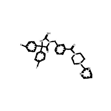 N=C1NC(c2ccc(F)cc2)(c2ccc(F)cc2)C(=O)N1Cc1cccc(C(=O)N2CCN(c3ncccn3)CC2)c1